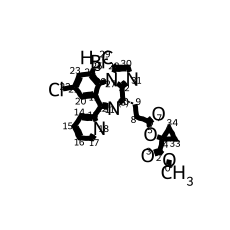 COC(=O)C1(OC(=O)CC[C@@H]2N=C(c3ccccn3)c3cc(Cl)cc(Br)c3-n3c(C)cnc32)CC1